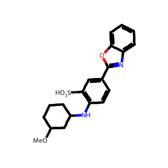 COC1CCCC(Nc2ccc(-c3nc4ccccc4o3)cc2S(=O)(=O)O)C1